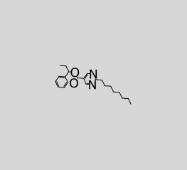 CCCCCCCCc1ncc(C(=O)OC(CC)c2ccccc2)cn1